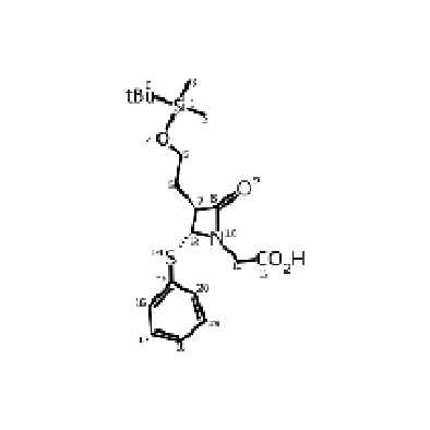 CC(C)(C)[Si](C)(C)OCC[C@H]1C(=O)N(CC(=O)O)[C@@H]1Sc1ccccc1